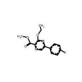 CCOc1nc(-c2ccc(F)cc2)cnc1C(=O)OC